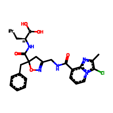 Cc1nc2c(C(=O)NCC3=NOC(Cc4ccccc4)(C(=O)N[C@@H](CC(C)C)B(O)O)C3)cccn2c1Cl